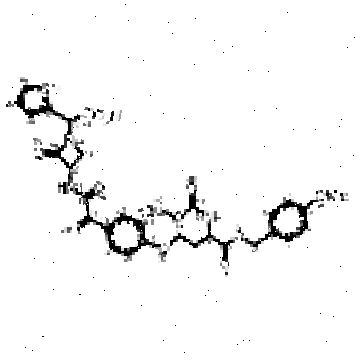 COc1ccc(COC(=O)C(CCOc2ccc(C(=O)C(=O)NC3CN(C(C(=O)O)c4cccs4)C3=O)cc2)NC(=O)OC(C)(C)C)cc1